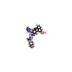 C#Cc1c(F)ccc2cc(O)cc(-c3c(C(C)C)cc4c(N5CC6CCC(C5)N6)nc(OCC5(CN6CCC7(CCO7)CC6)CC5)nc4c3F)c12